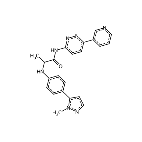 CC(Nc1ccc(-c2ccnn2C)cc1)C(=O)Nc1ccc(-c2cccnc2)nn1